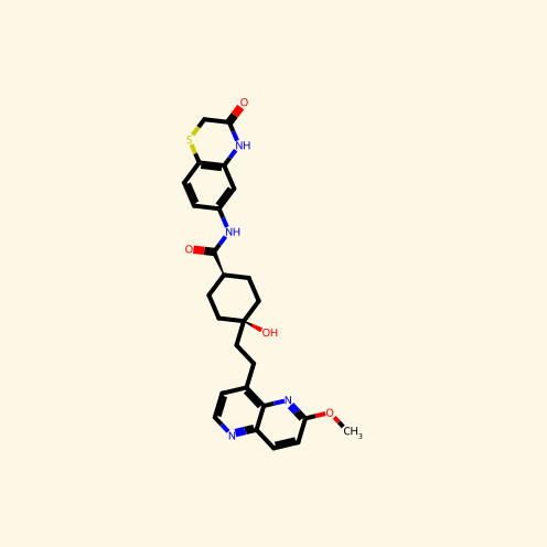 COc1ccc2nccc(CC[C@]3(O)CC[C@@H](C(=O)Nc4ccc5c(c4)NC(=O)CS5)CC3)c2n1